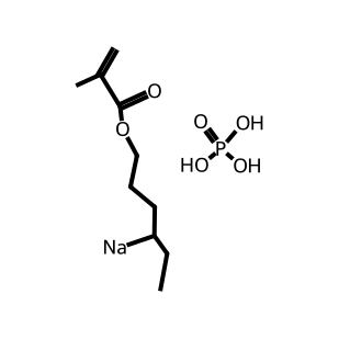 C=C(C)C(=O)OCCC[CH]([Na])CC.O=P(O)(O)O